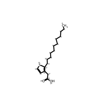 CCCCCCCCCCCCc1sccc1CC(=O)O